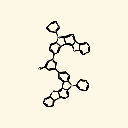 Clc1cc(-c2ccc3c(c2)c2c4sc5ccccc5c4ccc2n3-c2ccccc2)cc(-c2ccc3c(c2)c2c4sc5ccccc5c4ccc2n3-c2ccccc2)c1